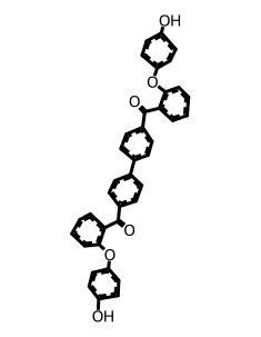 O=C(c1ccc(-c2ccc(C(=O)c3ccccc3Oc3ccc(O)cc3)cc2)cc1)c1ccccc1Oc1ccc(O)cc1